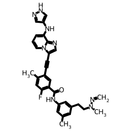 C=NN(C)CCc1cc(C)cc(NC(=O)c2cc(C#Cc3cnc4c(Nc5cn[nH]c5)cccn34)c(C)cc2F)c1